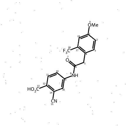 COc1ccc(CC(=O)Nc2ccc(C(=O)O)c(C#N)c2)c(C(F)(F)F)c1